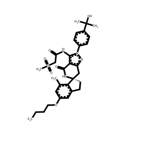 Cc1cc(OCCCC(F)(F)F)cc2c1[C@]1(CC2)Cc2nn(-c3ccc(C(C)(C)O)cc3)c(NC(=O)CS(C)(=O)=O)c2C(=O)N1